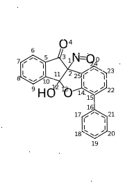 O=NC12C(=O)c3ccccc3C1(O)Oc1c(-c3ccccc3)cccc12